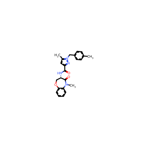 Cc1ccc(Cn2nc(C(=O)N[C@H]3COc4ccccc4N(C)C3=O)cc2C)cc1